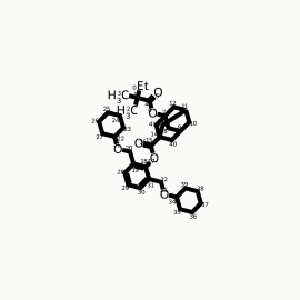 CCC(C)(C)C(=O)OC12CC3CC(C1)CC(C(=O)Oc1c(COC4CCCCC4)cccc1COC1CCCCC1)(C3)C2